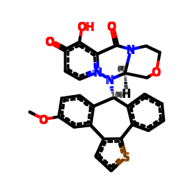 COc1ccc2c(c1)-c1ccsc1-c1ccccc1[C@H]2N1[C@@H]2COCCN2C(=O)c2c(O)c(=O)ccn21